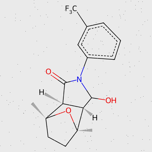 C[C@]12CC[C@](C)(O1)[C@H]1C(=O)N(c3cccc(C(F)(F)F)c3)C(O)[C@H]12